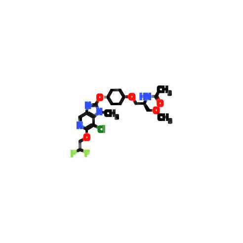 COC[C@@H](CO[C@H]1CC[C@H](Oc2nc3cnc(OCC(F)F)c(Cl)c3n2C)CC1)NC(C)=O